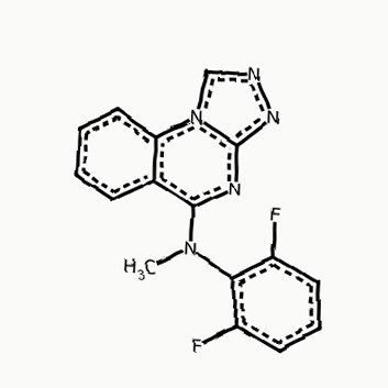 CN(c1c(F)cccc1F)c1nc2nncn2c2ccccc12